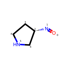 O=N[C@H]1CCNC1